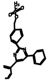 CS(=O)(=O)OCc1ccc(-c2nc(-c3ccccc3)cc(-c3ccccc3)n2)cc1